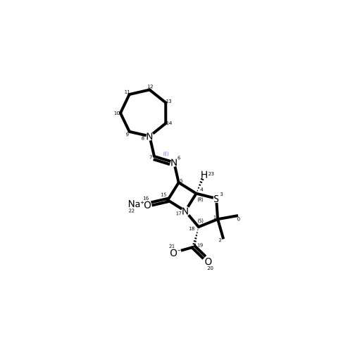 CC1(C)S[C@@H]2C(/N=C/N3CCCCCC3)C(=O)N2[C@H]1C(=O)[O-].[Na+]